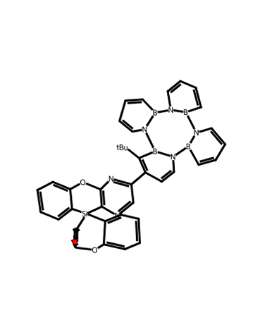 CC(C)(C)C1=C(c2cnc3c(n2)Oc2ccccc2[Si]32c3ccccc3Oc3ccccc32)C=CN2B3C=CC=CN3B3C=CC=CN3B3C=CC=CN3B12